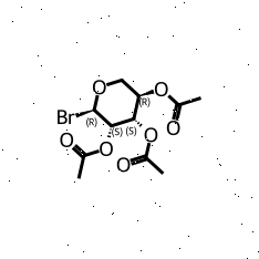 CC(=O)O[C@@H]1[C@H](OC(C)=O)[C@@H](Br)OC[C@H]1OC(C)=O